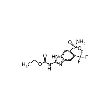 CCOC(=O)Nc1nc2cc(C(F)(F)F)c(S(N)(=O)=O)cc2[nH]1